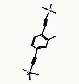 Cc1cc(C#C[Si](C)(C)C)ccc1C#C[Si](C)(C)C